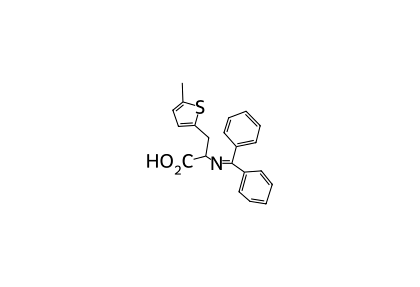 Cc1ccc(CC(N=C(c2ccccc2)c2ccccc2)C(=O)O)s1